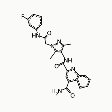 Cc1nn(CC(=O)Nc2cccc(F)c2)c(C)c1NC(=O)c1cc(C(N)=O)c2ccccc2n1